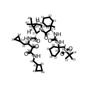 CC1([C@H](NC(=O)NC2(CS(=O)(=O)C(C)(C)C)CCCCC2)C(=O)N2C[C@H]3[C@@H]([C@H]2C(=O)NC(CC2CC2)C(=O)C(=O)NCC2CCC2)C3(C)C)CCCCC1